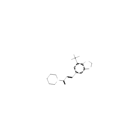 O=C(/C=C/c1cc2c(c(C(F)(F)F)c1)OCO2)N1CCCCC1